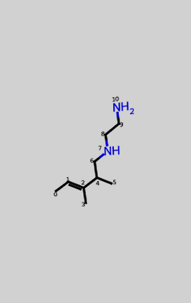 C/C=C(\C)C(C)CNCCN